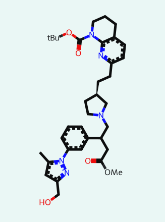 COC(=O)CC(CN1CC[C@@H](CCc2ccc3c(n2)N(C(=O)OC(C)(C)C)CCC3)C1)c1cccc(-n2nc(CO)cc2C)c1